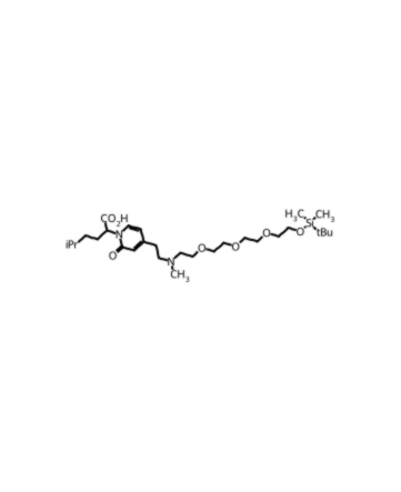 CC(C)CCC(C(=O)O)n1ccc(CCN(C)CCOCCOCCOCCO[Si](C)(C)C(C)(C)C)cc1=O